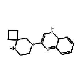 C1=CC2=NC(N3CCNC4(CCC4)C3)=CNC2C=C1